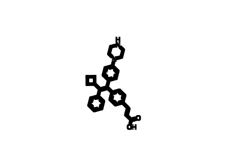 O=C(O)C=Cc1ccc(C(=C(c2ccccc2)C2CCC2)c2ccc(N3CCNCC3)cc2)cc1